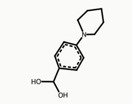 OC(O)c1ccc(N2CCCCC2)cc1